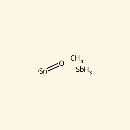 C.[O]=[Sn].[SbH3]